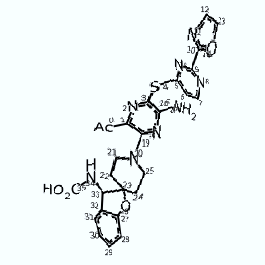 CC(=O)c1nc(Sc2ccnc(-c3ncco3)n2)c(N)nc1N1CCC2(CC1)Oc1ccccc1[C@H]2NC(=O)O